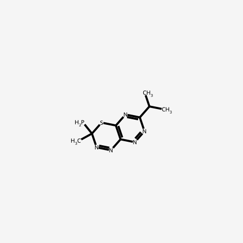 CC(C)c1nnc2c(n1)SC(C)(P)N=N2